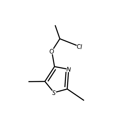 Cc1nc(OC(C)Cl)c(C)s1